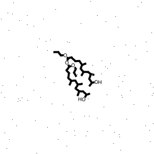 CCCOC(CCCC(C)CC(C)CC(C)CC(C)O)OC(CCCC(C)CC(C)CC(C)CC(C)O)OCCC